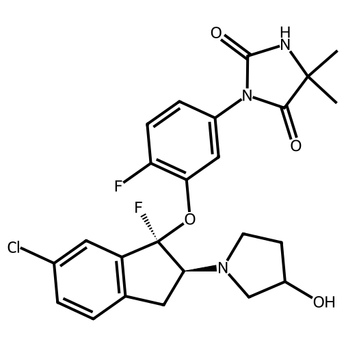 CC1(C)NC(=O)N(c2ccc(F)c(O[C@]3(F)c4cc(Cl)ccc4C[C@@H]3N3CCC(O)C3)c2)C1=O